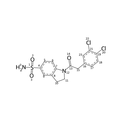 NS(=O)(=O)c1ccc2c(c1)CCN2C(=O)Cc1ccc(Cl)c(Cl)c1